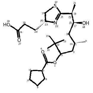 C[C@H](CC(OC(=O)C1CCCC1)C(C)(C)C)C[C@H](O)[C@H](C)C1=N[C@H](CCC(=O)O)CS1